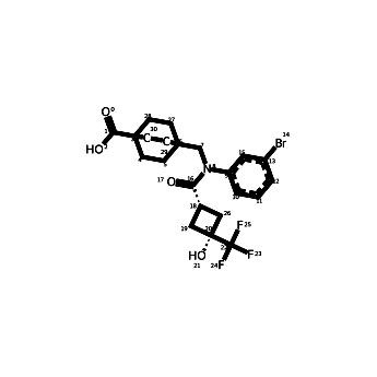 O=C(O)C12CCC(CN(c3cccc(Br)c3)C(=O)[C@H]3C[C@](O)(C(F)(F)F)C3)(CC1)CC2